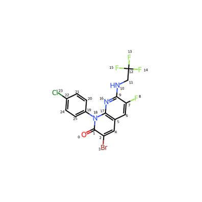 O=c1c(Br)cc2cc(F)c(NCC(F)(F)F)nc2n1-c1ccc(Cl)cc1